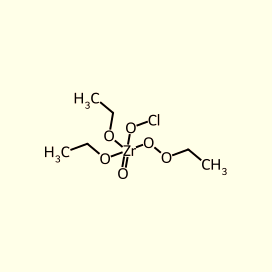 CCO[O][Zr](=[O])([O]Cl)([O]CC)[O]CC